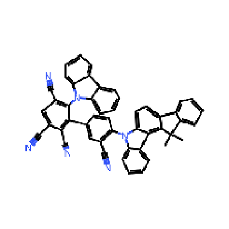 CC1(C)c2ccccc2-c2ccc3c(c21)c1ccccc1n3-c1ccc(-c2c(C#N)c(C#N)cc(C#N)c2-n2c3ccccc3c3ccccc32)cc1C#N